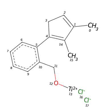 CC1=CCC(c2ccccc2C[O][Ti+2])=C1C.[Cl-].[Cl-]